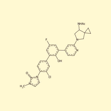 CC(=O)NC1CN(c2cc(-c3cc(F)cc(-c4ccc(-n5ccn(C)c5=O)c(Cl)c4)c3O)ccn2)CC12CC2